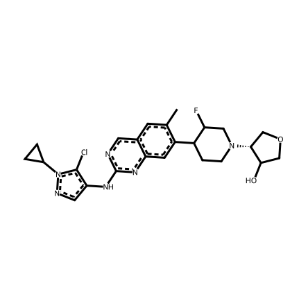 Cc1cc2cnc(Nc3cnn(C4CC4)c3Cl)nc2cc1C1CCN([C@@H]2COCC2O)CC1F